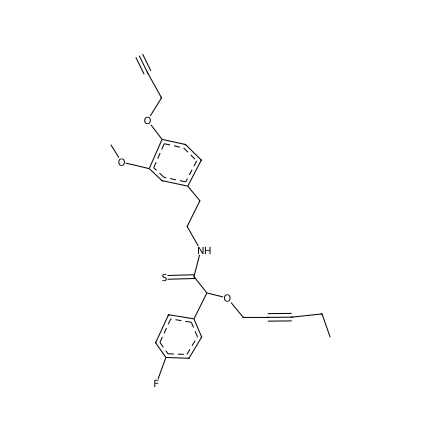 C#CCOc1ccc(CCNC(=S)C(OCC#CCC)c2ccc(F)cc2)cc1OC